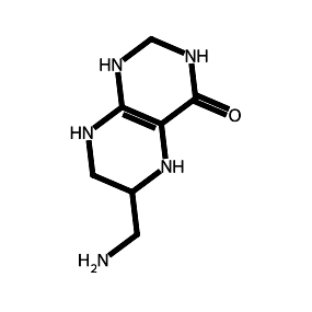 NCC1CNC2=C(N1)C(=O)NCN2